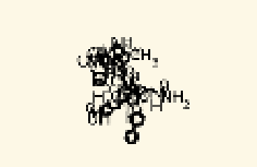 CC(=O)[C@H](CC1CCCCC1)NC(=O)[C@H](CCN)NC(=O)[C@@H](CC(C)C)NC(=O)[C@H](C)N(C)C(=O)[C@H](CCCNC(N)=O)NC(=O)[C@H](Cc1ccc(-c2ccccc2)cc1)NC(=O)[C@@H](C)Cc1ccc(C(=O)O)cc1